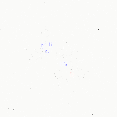 CC1C=Cc2c(cccc2C2NC3=C(c4c2oc2ccccc42)C(C)CC=C3c2ccc(-c3nc(-c4ccccc4)nc(-c4ccccc4)n3)cc2)C1